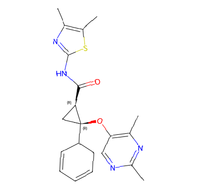 Cc1ncc(O[C@@]2(C3C=CC=CC3)C[C@H]2C(=O)Nc2nc(C)c(C)s2)c(C)n1